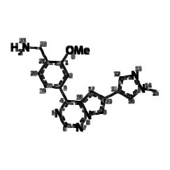 COc1cc(-c2ncnn3cc(-c4cnn(C)c4)cc23)ccc1CN